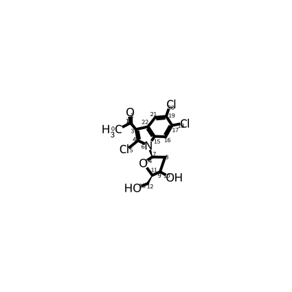 CC(=O)c1c(Cl)n([C@H]2CC(O)[C@@H](CO)O2)c2cc(Cl)c(Cl)cc12